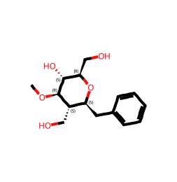 CO[C@H]1[C@H](O)[C@@H](CO)O[C@@H](Cc2ccccc2)[C@@H]1CO